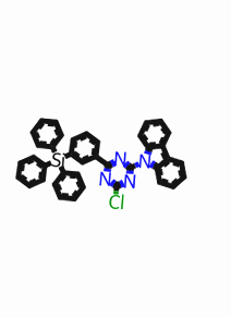 Clc1nc(-c2cccc([Si](c3ccccc3)(c3ccccc3)c3ccccc3)c2)nc(-n2c3ccccc3c3ccccc32)n1